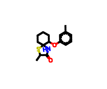 Cc1cccc(OC2CCCCC23NC(=O)C(C)S3)c1